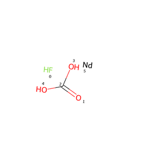 F.O=C(O)O.[Nd]